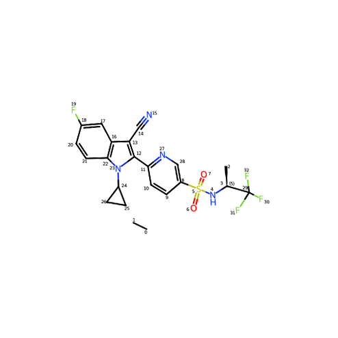 CC.C[C@H](NS(=O)(=O)c1ccc(-c2c(C#N)c3cc(F)ccc3n2C2CC2)nc1)C(F)(F)F